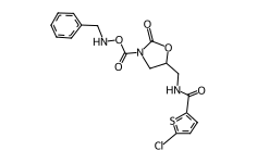 O=C(NCC1CN(C(=O)ONCc2ccccc2)C(=O)O1)c1ccc(Cl)s1